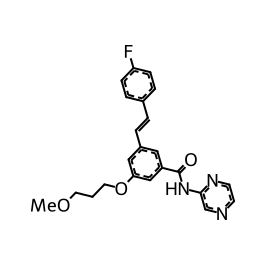 COCCCOc1cc(/C=C/c2ccc(F)cc2)cc(C(=O)Nc2cnccn2)c1